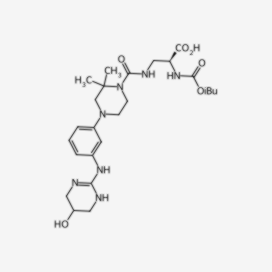 CC(C)COC(=O)N[C@@H](CNC(=O)N1CCN(c2cccc(NC3=NCC(O)CN3)c2)CC1(C)C)C(=O)O